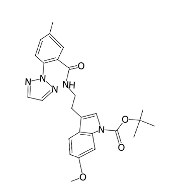 COc1ccc2c(CCNC(=O)c3cc(C)ccc3-n3nccn3)cn(C(=O)OC(C)(C)C)c2c1